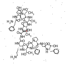 C[C@H](NC(=O)[C@@H](NC(=O)[C@H](CC(=O)O)NC(=O)[C@@H](N)Cc1ccccc1)[C@@H](C)O)C(=O)N[C@@H](CO)C(=O)N[C@H](C(=O)NCC(=O)N[C@@H](CCCCN)C(=O)N[C@H](C(=O)N[C@@H](Cc1ccccc1)C(=O)N1CCC[C@H]1C(=O)NCC(=O)N[C@@H](Cc1ccccc1)C(=O)O)[C@@H](C)O)[C@@H](C)O